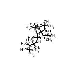 CC(C(C)(C)C)C(CC(C)(C)C)(CC(C)(C)C)CC(C)(C)NC(C)(C)C(C)C(C)(C)C